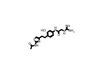 CC(=O)Nc1nc(CCc2ccc(NC(=O)CNC(=N)N)cc2)cs1.Cl